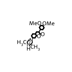 COc1ccc(-c2cc3ccc(N4C[C@@H](C)N[C@@H](C)C4)cc3oc2=O)cc1OC